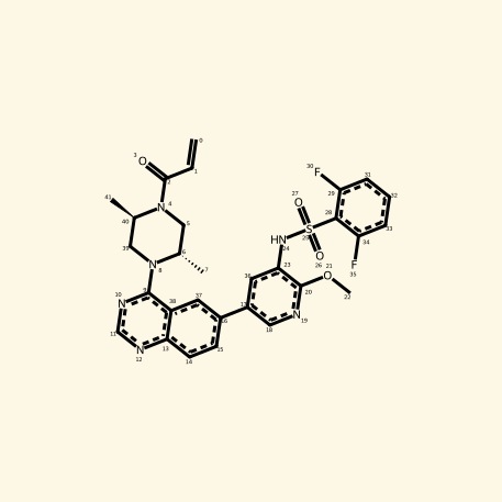 C=CC(=O)N1C[C@H](C)N(c2ncnc3ccc(-c4cnc(OC)c(NS(=O)(=O)c5c(F)cccc5F)c4)cc23)C[C@H]1C